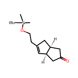 CC(C)(C)[Si](C)(C)OCCC1=C[C@@H]2CC(=O)C[C@@H]2C1